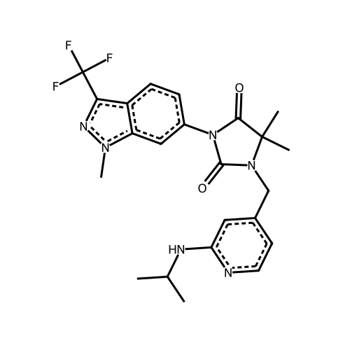 CC(C)Nc1cc(CN2C(=O)N(c3ccc4c(C(F)(F)F)nn(C)c4c3)C(=O)C2(C)C)ccn1